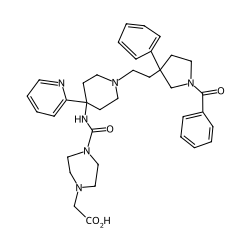 O=C(O)CN1CCN(C(=O)NC2(c3ccccn3)CCN(CCC3(c4ccccc4)CCN(C(=O)c4ccccc4)C3)CC2)CC1